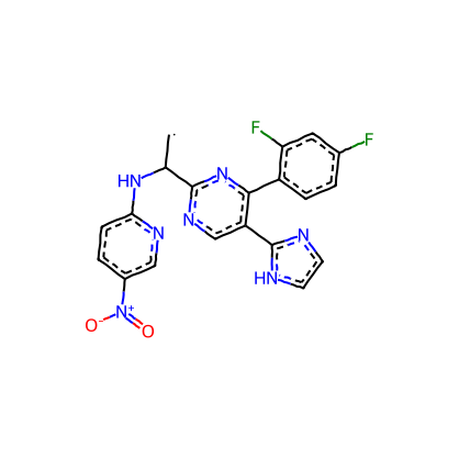 [CH2]C(Nc1ccc([N+](=O)[O-])cn1)c1ncc(-c2ncc[nH]2)c(-c2ccc(F)cc2F)n1